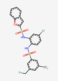 O=S(=O)(Nc1ccc(Cl)cc1NS(=O)(=O)c1cc2ccccc2o1)c1cc(CF)cc(C(F)(F)F)c1